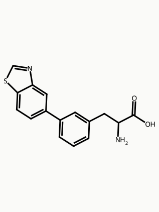 NC(Cc1cccc(-c2ccc3scnc3c2)c1)C(=O)O